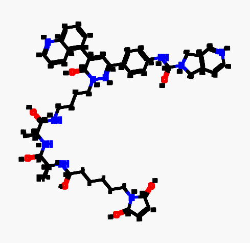 CC(C)[C@H](NC(=O)CCCCCN1C(=O)C=CC1=O)C(=O)N[C@@H](C)C(=O)NCCCCn1nc(-c2ccc(NC(=O)N3Cc4ccncc4C3)cc2)cc(-c2cccc3ncccc23)c1=O